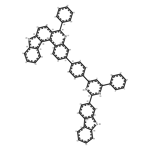 c1ccc(-c2cc(-c3ccc(-c4ccc5c(c4)nc(-c4ccccc4)c4ccc6sc7ccccc7c6c45)cc3)nc(-c3ccc4c(c3)sc3ccccc34)n2)cc1